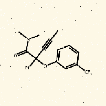 CC#CC(CC)(Oc1cccc(C(F)(F)F)c1)C(=O)N(C)C